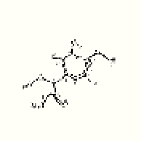 CCCCOc1c(C)cc([C@H](OC(C)(C)C)C(=O)OC)c(C)c1N